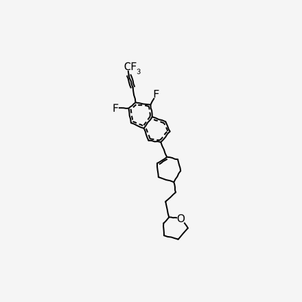 Fc1cc2cc(C3=CCC(CCC4CCCCO4)CC3)ccc2c(F)c1C#CC(F)(F)F